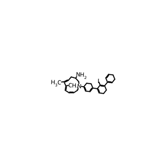 CC1=C\C=C/CN(C2=CC=C(C3=CCCC(C4=CCCC=C4)=C3I)CC2)CC(N)C\C=C\1C